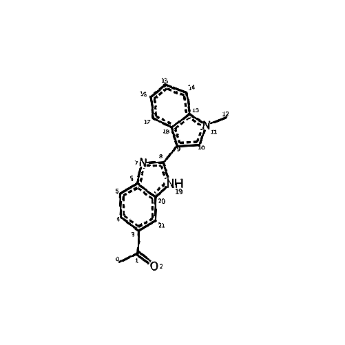 CC(=O)c1ccc2nc(-c3cn(C)c4ccccc34)[nH]c2c1